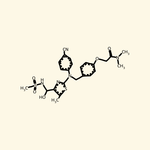 Cc1sc(N(Cc2ccc(OCC(=O)N(C)C)cc2)c2ccc(C#N)cc2)nc1C(O)NS(C)(=O)=O